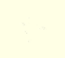 COCc1cn(CC(C)C)c(C)nc1=O